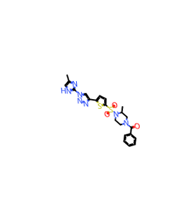 Cc1c[nH]c(-n2cc(-c3ccc(S(=O)(=O)N4CCN(C(=O)c5ccccc5)CC4C)s3)nn2)n1